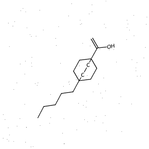 C=C(O)C12CCC(CCCCC)(CC1)CC2